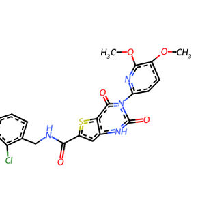 COc1ccc(-n2c(=O)[nH]c3cc(C(=O)NCc4ccccc4Cl)sc3c2=O)nc1OC